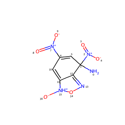 NC1([N+](=O)[O-])C=C([N+](=O)[O-])C=C2C1=NO[NH+]2[O-]